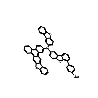 CC(C)(C)c1ccc(-c2cccc3c2oc2ccc(N(c4ccc5oc6ccccc6c5c4)c4ccc5c6ccccc6c6cc7sc8ccccc8c7cc6c5c4)cc23)cc1